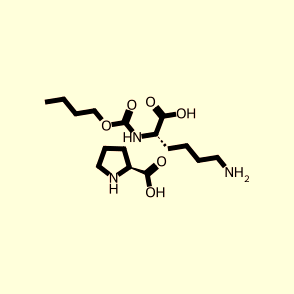 CCCCOC(=O)N[C@@H](CCCCN)C(=O)O.O=C(O)[C@@H]1CCCN1